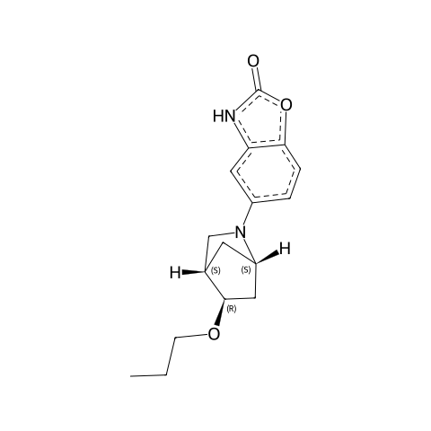 CCCO[C@@H]1C[C@@H]2C[C@H]1CN2c1ccc2oc(=O)[nH]c2c1